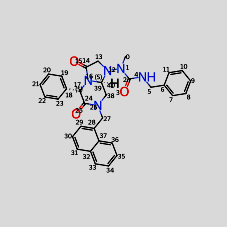 CN(C(=O)NCc1ccccc1)N1CC(=O)N2[C@@H](c3ccccc3)C(=O)N(Cc3cccc4ccccc34)C[C@@H]21